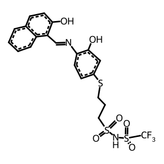 O=S(=O)(CCCSc1ccc(N=Cc2c(O)ccc3ccccc23)c(O)c1)NS(=O)(=O)C(F)(F)F